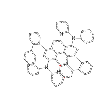 c1ccc(-c2ccccc2-c2cc(N(c3ccccc3)c3ccccn3)c3ccc4c(-c5ccccc5-c5ccccc5)cc(N(c5ccccc5)c5ccccn5)c5ccc2c3c45)cc1